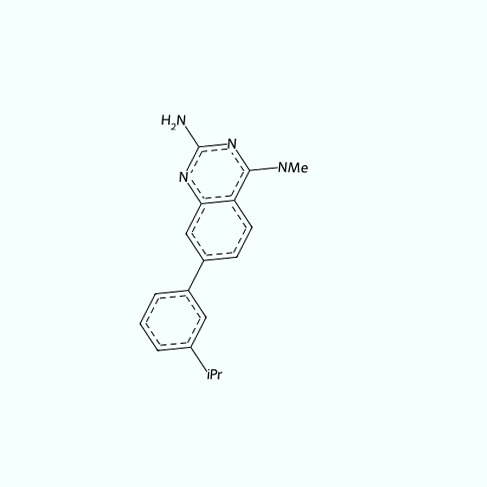 CNc1nc(N)nc2cc(-c3cccc(C(C)C)c3)ccc12